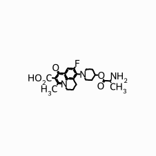 Cc1c(C(=O)O)c(=O)c2cc(F)c(N3CCC(OC(=O)[C@H](C)N)CC3)c3c2n1CCC3